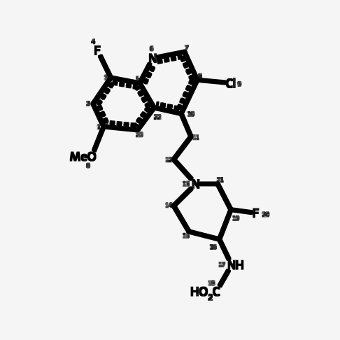 COc1cc(F)c2ncc(Cl)c(CCN3CCC(NC(=O)O)C(F)C3)c2c1